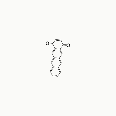 O=C1C=CC(=O)c2cc3cc4ccccc4cc3cc21